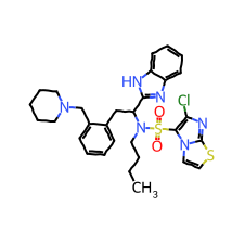 CCCCN(C(Cc1ccccc1CN1CCCCC1)c1nc2ccccc2[nH]1)S(=O)(=O)c1c(Cl)nc2sccn12